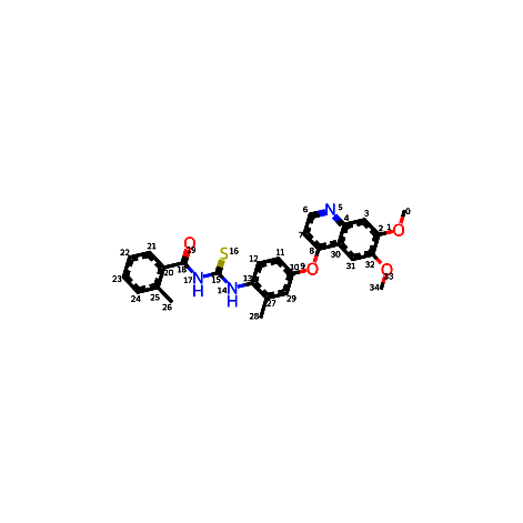 COc1cc2nccc(Oc3ccc(NC(=S)NC(=O)c4ccccc4C)c(C)c3)c2cc1OC